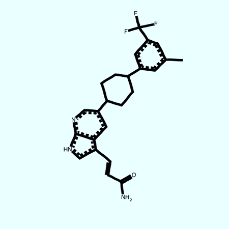 Cc1cc(C2CCC(c3cnc4[nH]cc(/C=C/C(N)=O)c4c3)CC2)cc(C(F)(F)F)c1